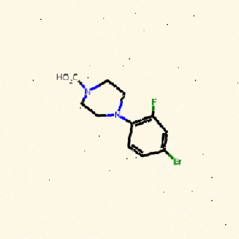 O=C(O)N1CCN(c2ccc(Br)cc2F)CC1